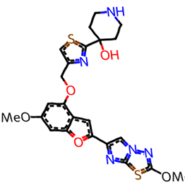 COc1cc(OCc2csc(C3(O)CCNCC3)n2)c2cc(-c3cn4nc(OC)sc4n3)oc2c1